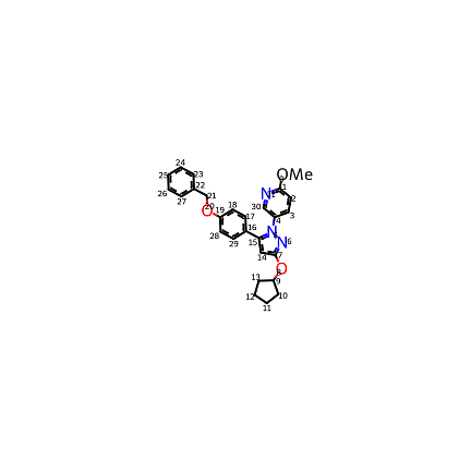 COc1ccc(-n2nc(OC3CCCC3)cc2-c2ccc(OCc3ccccc3)cc2)cn1